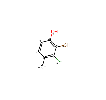 Cc1ccc(O)c(S)c1Cl